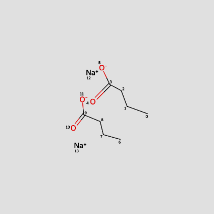 CCCC(=O)[O-].CCCC(=O)[O-].[Na+].[Na+]